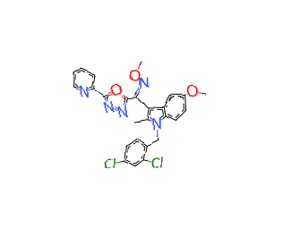 CON=C(c1nnc(-c2ccccn2)o1)c1c(C)n(Cc2ccc(Cl)cc2Cl)c2ccc(OC)cc12